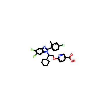 Cc1cc(Cl)ccc1-c1nc2cc(F)c(F)cc2n1C(COc1ccc(C(=O)O)cn1)C1CCCCC1